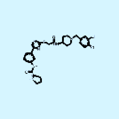 O=C(CSc1nc(-c2cccc(NC(=O)[C@@H]3CCCN3)c2)cs1)NC1CCN(Cc2ccc(Cl)c(Cl)c2)CC1